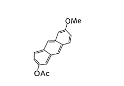 COc1ccc2cc3cc(OC(C)=O)ccc3cc2c1